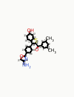 Cc1cc(C)cc(C(=O)c2sc3cc(O)ccc3c2-c2ccc(-c3nc(N)co3)cc2)c1